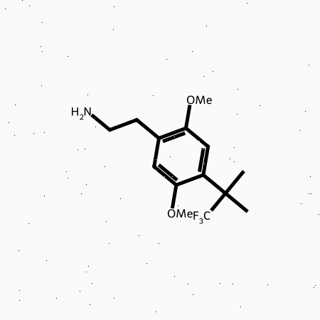 COc1cc(C(C)(C)C(F)(F)F)c(OC)cc1CCN